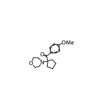 COc1ccc(C(=O)C2(N3CCOCC3)CCCC2)cc1